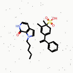 C=C(C1=CCC(C)(S(=O)(=O)O)C(C)=C1)c1ccccc1.CCCCCn1ccc2cc[nH]c(=O)c21